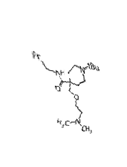 CC(C)CNC(=O)C1(COCCN(C)C)CCN(C(C)(C)C)CC1